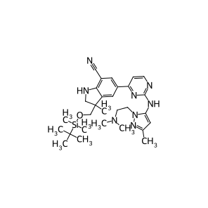 Cc1cc(Nc2nccc(-c3cc(C#N)c4c(c3)C(C)(CO[Si](C)(C)C(C)(C)C)CN4)n2)n(CCN(C)C)n1